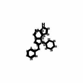 c1ccc(Cc2cc3cnc4[nH]ccc4c3n2C2CCCCC2)cc1